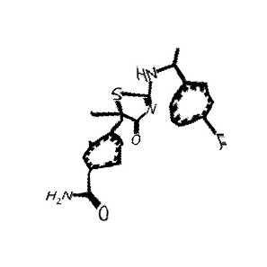 CC(NC1=NC(=O)C(C)(c2ccc(C(N)=O)cc2)S1)c1ccc(F)cc1